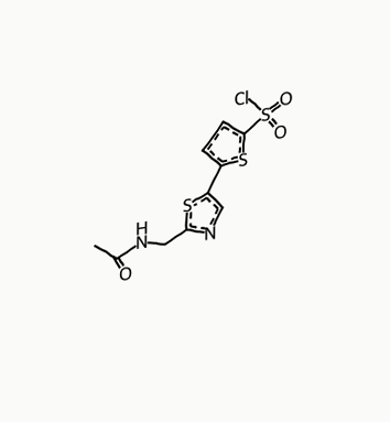 CC(=O)NCc1ncc(-c2ccc(S(=O)(=O)Cl)s2)s1